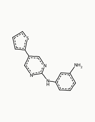 Nc1cccc(Nc2ncc(-c3cccs3)cn2)c1